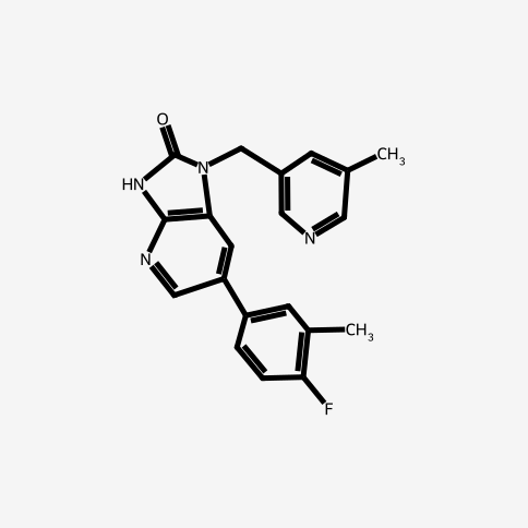 Cc1cncc(Cn2c(=O)[nH]c3ncc(-c4ccc(F)c(C)c4)cc32)c1